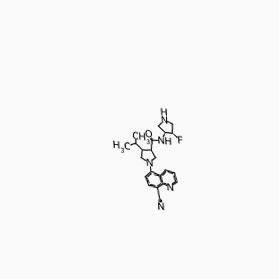 CC(C)C1CN(c2ccc(C#N)c3ncccc23)CC1C(=O)N[C@H]1CNC[C@H]1F